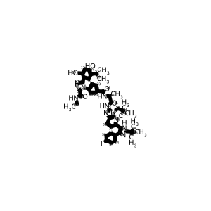 CCNC(=O)c1nnc(-c2cc(C(C)C)c(O)cc2O)n1-c1ccc(C(=O)N[C@@H](C)C(=O)Nc2nc3ccc(-c4[nH]c(C(C)(C)C)nc4-c4ccc(F)cc4)nc3n2CC(C)(C)C)cc1